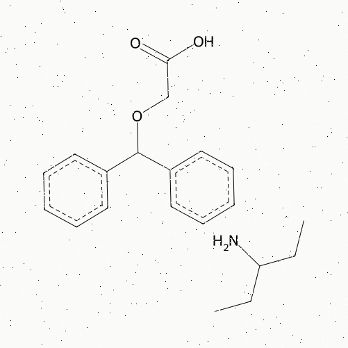 CCC(N)CC.O=C(O)COC(c1ccccc1)c1ccccc1